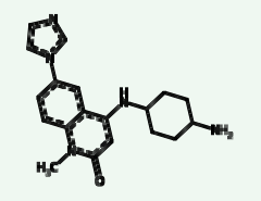 Cn1c(=O)cc(NC2CCC(N)CC2)c2cc(-n3ccnc3)ccc21